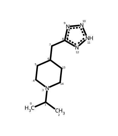 CC(C)N1CCC(Cc2nn[nH]n2)CC1